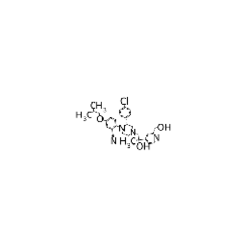 CC(C)COc1ccc(N2CCN(C[C@@](C)(O)c3ccnc(CO)c3)C[C@H]2c2ccc(Cl)cc2)c(C#N)c1